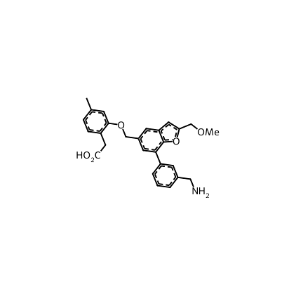 COCc1cc2cc(COc3cc(C)ccc3CC(=O)O)cc(-c3cccc(CN)c3)c2o1